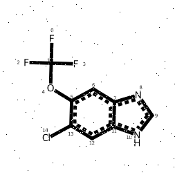 FC(F)(F)Oc1cc2nc[nH]c2cc1Cl